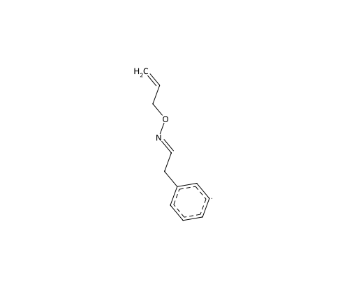 C=CCON=CCc1c[c]ccc1